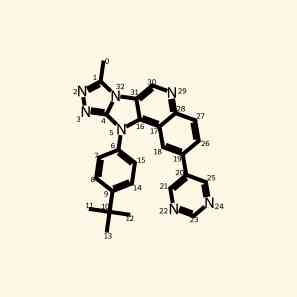 Cc1nnc2n(-c3ccc(C(C)(C)C)cc3)c3c4cc(-c5cncnc5)ccc4ncc3n12